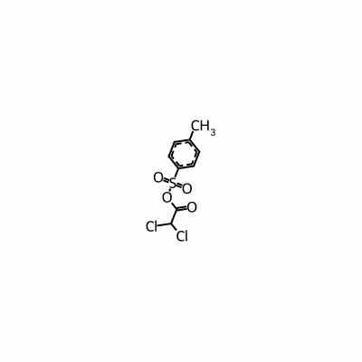 Cc1ccc(S(=O)(=O)OC(=O)C(Cl)Cl)cc1